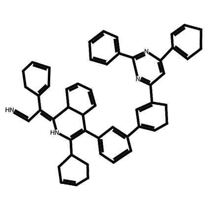 N=C/C(C1=CC=CCC1)=C1\NC(C2CC=CCC2)=C(c2cccc(C3=CCCC(c4cc(C5=CCCC=C5)nc(-c5ccccc5)n4)=C3)c2)C2C=CC=CC12